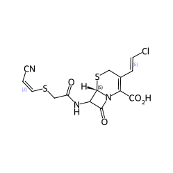 N#C/C=C\SCC(=O)NC1C(=O)N2C(C(=O)O)=C(/C=C/Cl)CS[C@@H]12